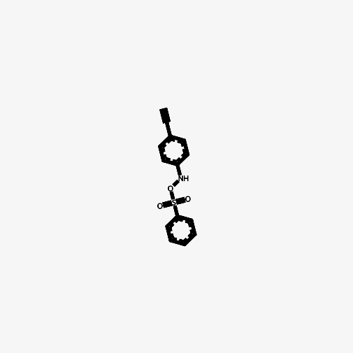 C#Cc1ccc(NOS(=O)(=O)c2ccccc2)cc1